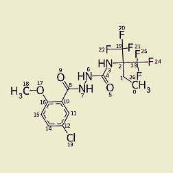 CCC(NC(=O)NNC(=O)c1cc(Cl)ccc1OC)(C(F)(F)F)C(F)(F)F